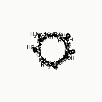 C=CC[C@@H]1NC(=O)[C@H](Cc2c[nH]c3ccccc23)NC(=O)[C@@H]2C[C@@H](O)CN2C(=O)[C@H](CC(C)C)NC(=O)[C@H](Cc2cnc[nH]2)NC(=O)C2CCCN2C(=O)[C@H](CC(N)=O)NC(=O)[C@H](C)N(C)C(=O)[C@H](Cc2ccc(O)cc2)NC(=O)CSC[C@@H](C(=O)NCC(N)=O)NC(=O)[C@H](CC=C)NC(=O)[C@H](CCCC)N(C)C(=O)[C@H](CCCC)N(C)C(=O)[C@H](Cc2c[nH]c3ccccc23)NC1=O